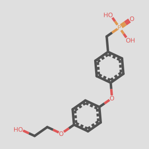 O=P(O)(O)Cc1ccc(Oc2ccc(OCCO)cc2)cc1